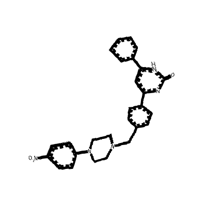 O=c1nc(-c2ccc(CN3CCN(c4ccc([N+](=O)[O-])cc4)CC3)cc2)cc(-c2ccccc2)[nH]1